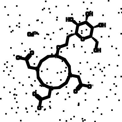 O=C([O-])CN1CCN(CC(=O)[O-])CCN(OCC[C@H]2O[C@@H](CO)[C@@H](O)[C@@H](O)[C@@H]2O)CCN(CC(=O)[O-])CC1.[Gd+3]